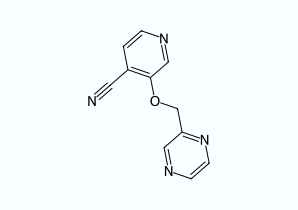 N#Cc1ccncc1OCc1cnccn1